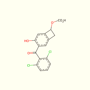 O=C(O)OC1Cc2cc(C(=O)c3c(Cl)cccc3Cl)c(O)cc21